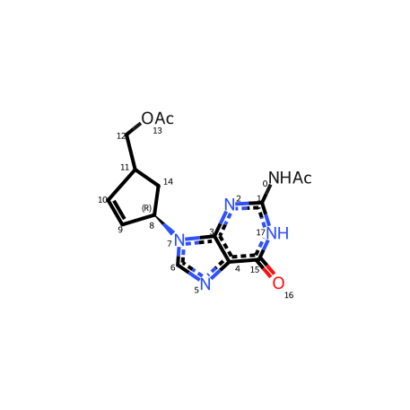 CC(=O)Nc1nc2c(ncn2[C@H]2C=CC(COC(C)=O)C2)c(=O)[nH]1